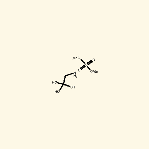 COS(=O)(=O)OC.NCC(O)(O)O